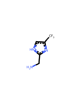 NCc1nc(C(F)(F)F)c[nH]1